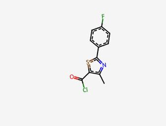 Cc1nc(-c2ccc(F)cc2)sc1C(=O)Cl